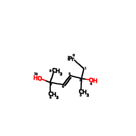 CC(C)CC(C)(O)C=CC(C)(C)O